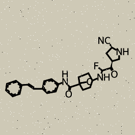 N#C[C@@H]1C[C@H](C(=O)C(F)NC23CCC(C(=O)Nc4ccc(C=Cc5ccccc5)cc4)(CC2)CC3)CN1